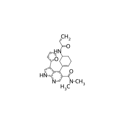 C=CC(=O)NC1CCC=C(c2c(C(=O)N(C)C)cnc3[nH]cc(-c4ccco4)c23)C1